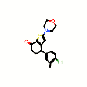 Cc1cc(C2CCC(=O)c3sc(N4CCOCC4)cc32)ccc1Cl